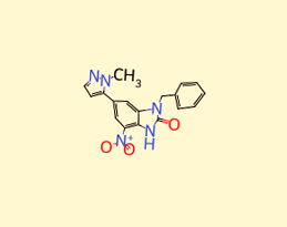 Cn1nccc1-c1cc([N+](=O)[O-])c2[nH]c(=O)n(Cc3ccccc3)c2c1